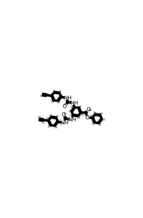 C#Cc1ccc(NC(=O)Nc2cc(NC(=O)Nc3ccc(C#C)cc3)cc(C(=O)Oc3ccccc3)c2)cc1